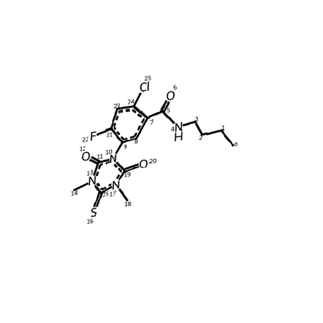 CCCCNC(=O)c1cc(-n2c(=O)n(C)c(=S)n(C)c2=O)c(F)cc1Cl